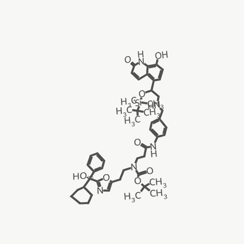 CC(C)(C)OC(=O)N(CCC(=O)Nc1ccc(CNCC(O[Si](C)(C)C(C)(C)C)c2ccc(O)c3[nH]c(=O)ccc23)cc1)CCc1cnc([C@](O)(c2ccccc2)C2CCCCC2)o1